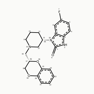 O=c1[nH]c2ccc(F)cc2n1[C@H]1CCCN(C[C@H]2COc3ccccc3O2)C1